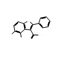 CNC(=O)c1c(-c2ccccc2)oc2ccc(O)c(F)c12